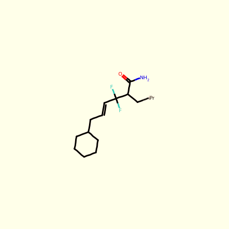 CC(C)CC(C(N)=O)C(F)(F)C=CCC1CCCCC1